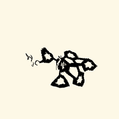 Cc1cccc(-c2nc(-c3ccccc3)nc(-c3cccc4c3C3(c5ccccc5-c5ccccc53)c3ccccc3-4)n2)c1